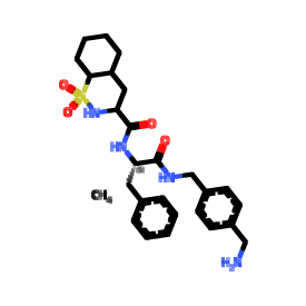 C.NCc1ccc(CNC(=O)[C@H](Cc2ccccc2)NC(=O)C2CC3CCCCC3S(=O)(=O)N2)cc1